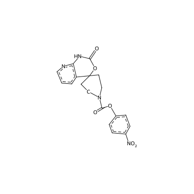 O=C1Nc2ncccc2C2(CCN(C(=O)Oc3ccc([N+](=O)[O-])cc3)CC2)O1